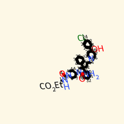 CCOC(=O)CNC(=O)N1CCC(N(CC(CCCN2CCC(O)(c3ccc(Cl)cc3)CC2)(c2ccccc2)c2ccccc2)C(N)=O)CC1